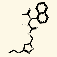 CCSC1=NOC(CNC(=O)[C@H](C)N(C(C)=O)c2cccc3ccccc23)C1